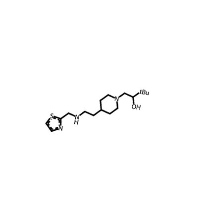 CC(C)(C)C(O)CN1CCC(CCNCc2nccs2)CC1